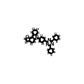 c1ccc(-c2nc(-c3ccccc3)nc(-c3ccc(-n4c5ccccc5c5c6occc6ccc54)cc3)n2)cc1